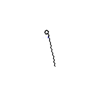 CCCCCCCCCCCCCCCCCC(N)=Cc1ccccc1